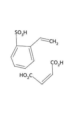 C=Cc1ccccc1S(=O)(=O)O.O=C(O)/C=C\C(=O)O